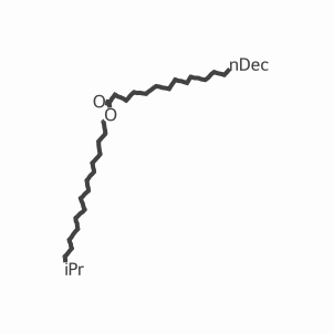 CCCCCCCCCCCCCCCCCCCCCCC(=O)OCCCCCCCCCCCCCCCC(C)C